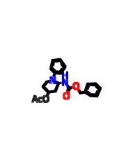 CC(=O)OC1CCN(c2ccccc2)[C@H](NC(=O)OCc2ccccc2)C1